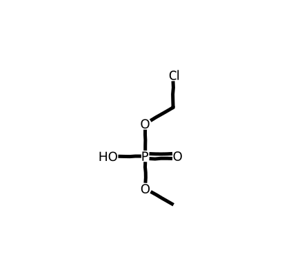 COP(=O)(O)OCCl